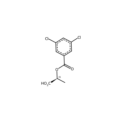 C[C@H](OC(=O)c1cc(Cl)cc(Cl)c1)C(=O)O